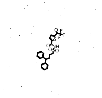 O=C(NS(=O)(=O)CCCC(c1ccccc1)c1ccccc1)c1ccc(C(=O)C(F)(F)F)s1